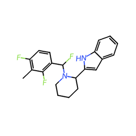 Cc1c(F)ccc(C(F)N2CCCCC2c2cc3ccccc3[nH]2)c1F